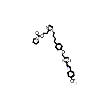 O=C(OCCc1nccn1CCCCc1ccc(OCc2coc(/C=C/c3ccc(C(F)(F)F)cc3)n2)cc1)N1CCCC1